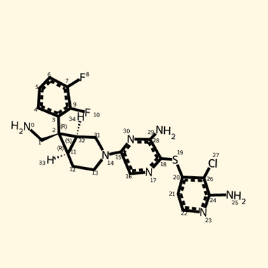 NC[C@]1(c2cccc(F)c2F)[C@@H]2CCN(c3cnc(Sc4ccnc(N)c4Cl)c(N)n3)C[C@@H]21